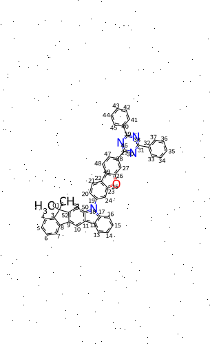 CC1(C)c2ccccc2-c2cc3c4ccccc4n(-c4ccc5c(c4)oc4cc(-c6nc(-c7ccccc7)nc(-c7ccccc7)n6)ccc45)c3cc21